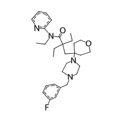 CCN(C(=O)C(CC)(CC)CC1(N2CCN(Cc3cccc(F)c3)CC2)CCOCC1)c1ccccn1